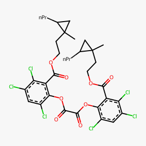 CCCC1CC1(C)CCOC(=O)c1c(Cl)c(Cl)cc(Cl)c1OC(=O)C(=O)Oc1c(Cl)cc(Cl)c(Cl)c1C(=O)OCCC1(C)CC1CCC